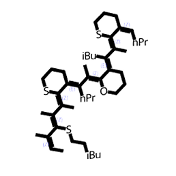 C\C=C(C)/C(SCCC(C)CC)=C(C)/C(C)=C1\SCCC\C1=C(CCC)/C(C)=C1\OCCC\C1=C(/C(C)=C1\SCCC\C1=C\CCC)C(C)CC